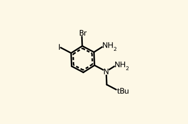 CC(C)(C)CN(N)c1ccc(I)c(Br)c1N